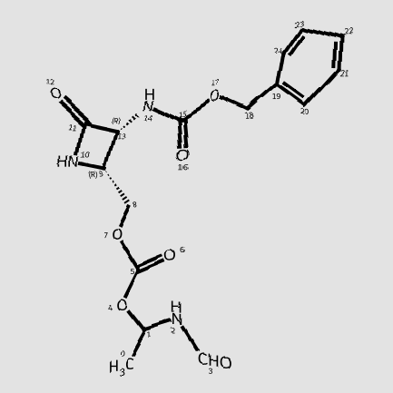 CC(NC=O)OC(=O)OC[C@@H]1NC(=O)[C@@H]1NC(=O)OCc1ccccc1